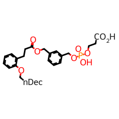 CCCCCCCCCCCOc1ccccc1CCC(=O)OCc1cccc(COP(=O)(O)OCCC(=O)O)c1